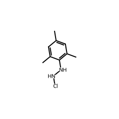 Cc1cc(C)c(NNCl)c(C)c1